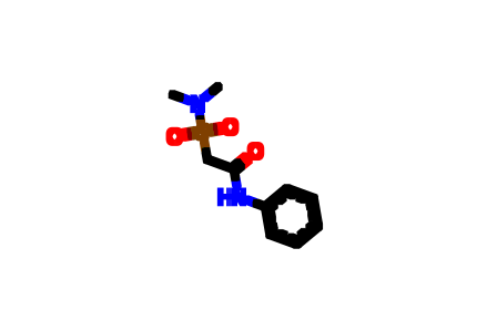 CN(C)S(=O)(=O)CC(=O)Nc1ccccc1